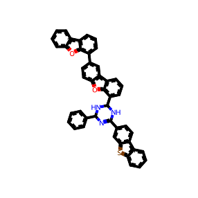 c1ccc(C2N=C(c3ccc4c(c3)sc3ccccc34)NC(c3cccc4c3oc3ccc(-c5cccc6c5oc5ccccc56)cc34)N2)cc1